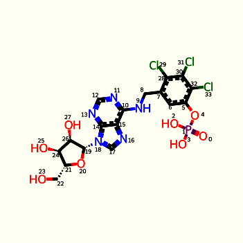 O=P(O)(O)Oc1cc(CNc2ncnc3c2ncn3[C@@H]2O[C@H](CO)[C@@H](O)[C@H]2O)c(Cl)c(Cl)c1Cl